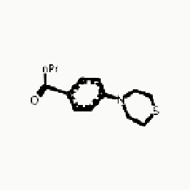 CCCC(=O)c1ccc(N2CCSCC2)cc1